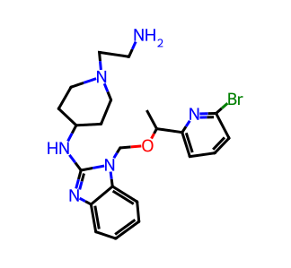 CC(OCn1c(NC2CCN(CCN)CC2)nc2ccccc21)c1cccc(Br)n1